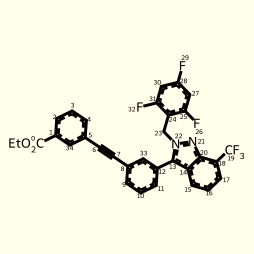 CCOC(=O)c1cccc(C#Cc2cccc(-c3c4cccc(C(F)(F)F)c4nn3Cc3c(F)cc(F)cc3F)c2)c1